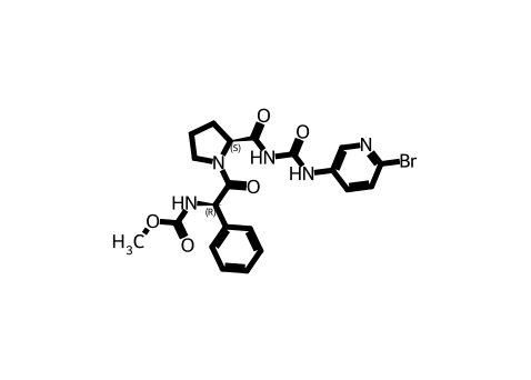 COC(=O)N[C@@H](C(=O)N1CCC[C@H]1C(=O)NC(=O)Nc1ccc(Br)nc1)c1ccccc1